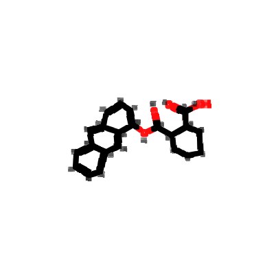 O=C(O)C1CCCCC1C(=O)Oc1cccc2cc3ccccc3cc12